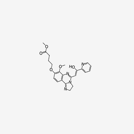 COC(=O)CCCOc1ccc2c(c1OC)N=C(C=C(O)c1ccccn1)N1CCN=C21